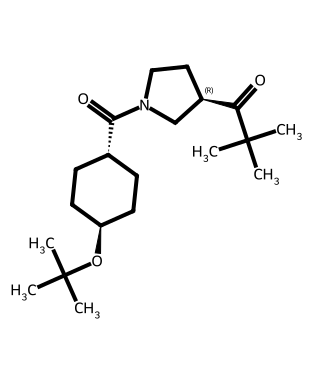 CC(C)(C)O[C@H]1CC[C@H](C(=O)N2CC[C@@H](C(=O)C(C)(C)C)C2)CC1